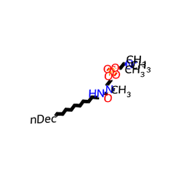 CCCCCCCCCCCCCCCCCCCCNC(=O)N(C)CCOP(=O)([O-])OCC[N+](C)(C)C